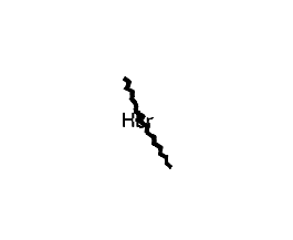 Br.CCCCCCCCCCCCCCCCCC